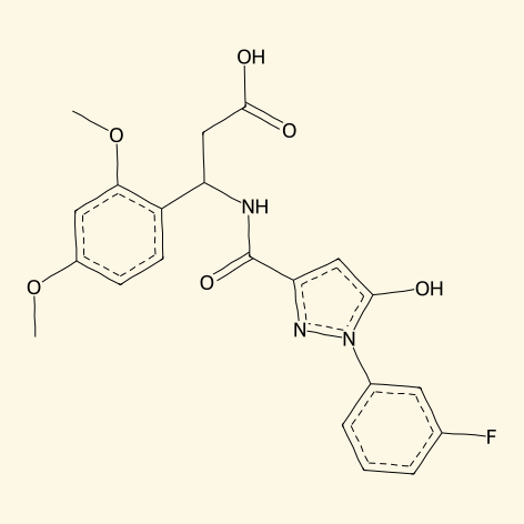 COc1ccc(C(CC(=O)O)NC(=O)c2cc(O)n(-c3cccc(F)c3)n2)c(OC)c1